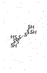 SCCSc1scc(SCCCSCC(CS)SCCS)c1S